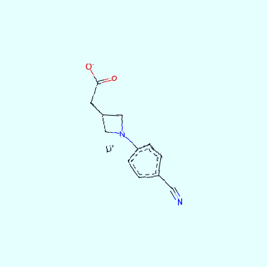 N#Cc1ccc(N2CC(CC(=O)[O-])C2)cc1.[Li+]